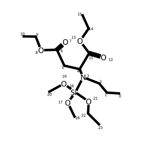 CCCN(C(CC(=O)OCC)C(=O)OCC)[Si](OC)(OC)OCC